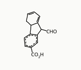 O=CC1C2=CC=CCC2c2ccc(C(=O)O)cc21